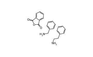 NCCc1ccccc1.NCc1ccccc1.O=C1OC(=O)c2ccccc21